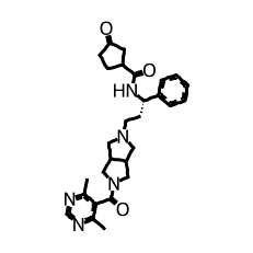 Cc1ncnc(C)c1C(=O)N1CC2CN(CC[C@H](NC(=O)C3CCC(=O)C3)c3ccccc3)CC2C1